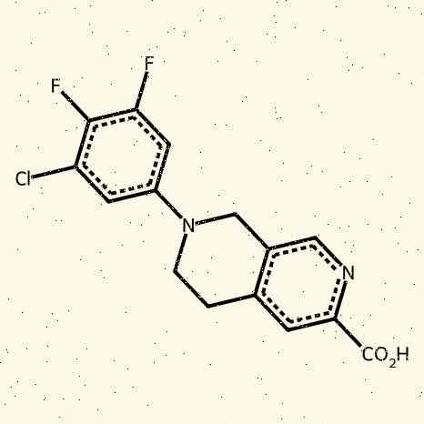 O=C(O)c1cc2c(cn1)CN(c1cc(F)c(F)c(Cl)c1)CC2